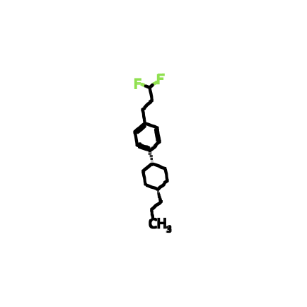 CCC[C@H]1CC[C@H](c2ccc(CCC(F)F)cc2)CC1